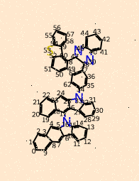 c1ccc2cc3c(cc2c1)c1ccccc1n3-c1c2ccccc2cc2c1c1ccccc1n2-c1ccc(-c2nc3ccccc3nc2-c2cccc3sc4ccccc4c23)cc1